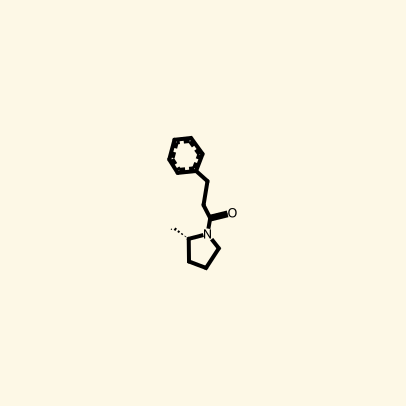 [CH2][C@H]1CCCN1C(=O)CCc1ccccc1